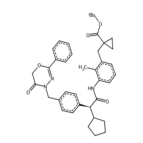 Cc1c(CC2(C(=O)OC(C)(C)C)CC2)cccc1NC(=O)[C@H](c1ccc(CN2N=C(c3ccccc3)OCC2=O)cc1)C1CCCC1